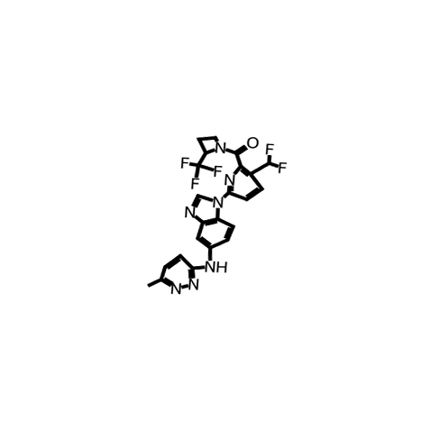 Cc1ccc(Nc2ccc3c(c2)ncn3-c2ccc(C(F)F)c(C(=O)N3CCC3C(F)(F)F)n2)nn1